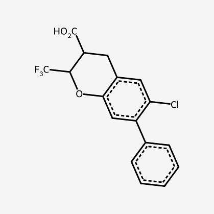 O=C(O)C1Cc2cc(Cl)c(-c3ccccc3)cc2OC1C(F)(F)F